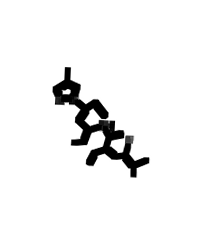 C=C/C(=C/C(F)=C(C)C)C(=C)NC(=C/C)/C=C(\C=C)n1cc(C)cn1